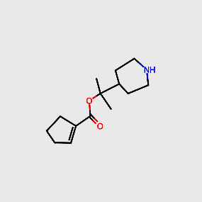 CC(C)(OC(=O)C1=CCCC1)C1CCNCC1